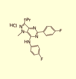 CCCc1nn(C)c2c(Nc3ccc(F)cc3)nc(-c3ccc(F)cc3)nc12.Cl